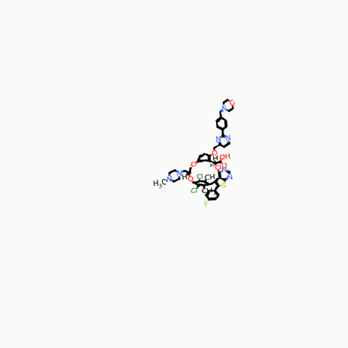 Cc1c(Cl)c2c(Cl)c(C)c1-c1c(-c3ccc(F)cc3)sc3ncnc(c13)O[C@@H](C(=O)O)c1cc(ccc1OCc1ccnc(-c3ccc(CN4CCOCC4)cc3)n1)OC[C@@H](CN1CCN(C)CC1)O2